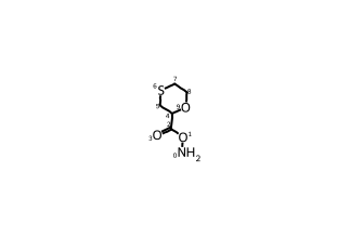 NOC(=O)C1CSCCO1